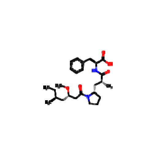 CC[C@H](C)C[C@@H](CC(=O)N1CCC[C@H]1C[C@@H](C)C(=O)N[C@@H](Cc1ccccc1)C(=O)O)OC